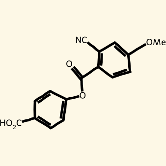 COc1ccc(C(=O)Oc2ccc(C(=O)O)cc2)c(C#N)c1